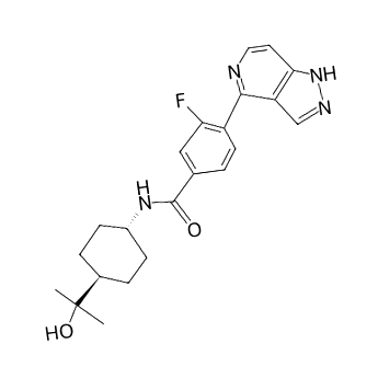 CC(C)(O)[C@H]1CC[C@H](NC(=O)c2ccc(-c3nccc4[nH]ncc34)c(F)c2)CC1